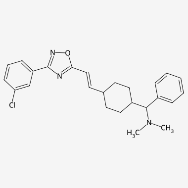 CN(C)C(c1ccccc1)C1CCC(C=Cc2nc(-c3cccc(Cl)c3)no2)CC1